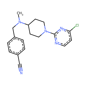 CN(Cc1ccc(C#N)cc1)C1CCN(c2nccc(Cl)n2)CC1